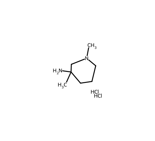 CN1CCCC(C)(N)C1.Cl.Cl